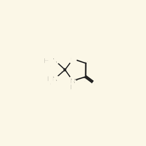 NC1(N)NC(=O)[CH]O1